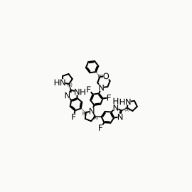 Fc1cc2nc([C@@H]3CCCN3)[nH]c2cc1[C@H]1CC[C@H](c2cc3[nH]c([C@@H]4CCCN4)nc3cc2F)N1c1cc(F)c(N2CCO[C@@H](c3ccccc3)C2)c(F)c1